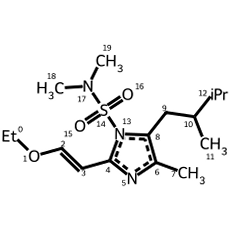 CCO/C=C/c1nc(C)c(CC(C)C(C)C)n1S(=O)(=O)N(C)C